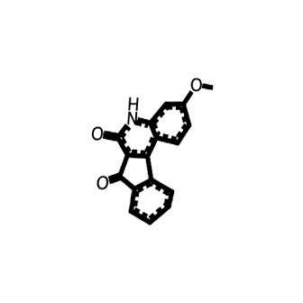 COc1ccc2c3c(c(=O)[nH]c2c1)C(=O)c1ccccc1-3